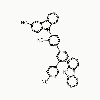 N#Cc1ccc(-c2cccc(-c3ccc(-n4c5ccccc5c5cc(C#N)ccc54)c(C#N)c3)c2)c(-n2c3ccccc3c3ccccc32)c1